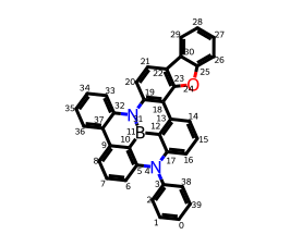 c1ccc(N2c3cccc4c3B3c5c(cccc52)-c2c(ccc5c2oc2ccccc25)N3c2ccccc2-4)cc1